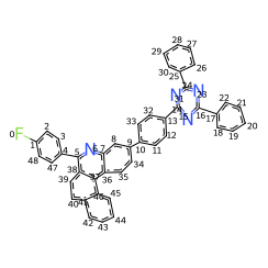 Fc1ccc(-c2nc3cc(-c4ccc(-c5nc(-c6ccccc6)nc(-c6ccccc6)n5)cc4)ccc3c3c2ccc2ccccc23)cc1